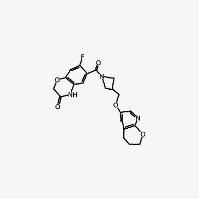 O=C1COc2cc(F)c(C(=O)N3CC(COc4cnc5c(c4)CCCO5)C3)cc2N1